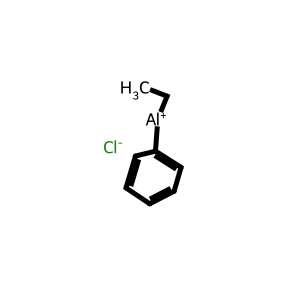 C[CH2][Al+][c]1ccccc1.[Cl-]